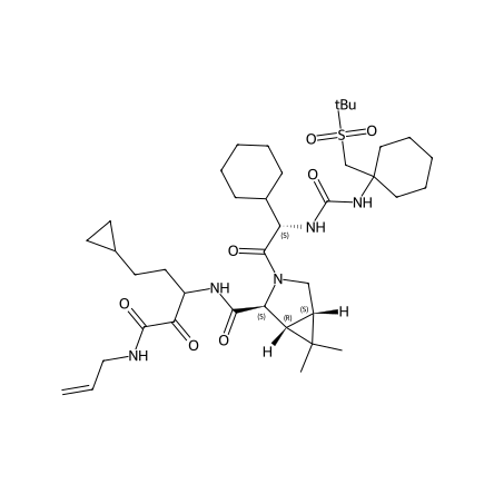 C=CCNC(=O)C(=O)C(CCC1CC1)NC(=O)[C@@H]1[C@@H]2[C@H](CN1C(=O)[C@@H](NC(=O)NC1(CS(=O)(=O)C(C)(C)C)CCCCC1)C1CCCCC1)C2(C)C